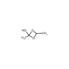 CC1OC(C)(O)O1